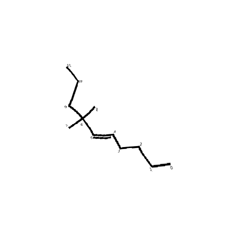 CCCCC=CC(C)(C)CCC